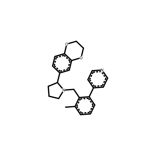 Cc1cccc(-c2ccncc2)c1CN1CCCC1c1ccc2c(c1)OCCO2